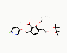 COCOc1c(CCB2OC(C)(C)C(C)(C)O2)ccc(COc2ccc(F)nc2)c1C(=O)OC(C)(C)C